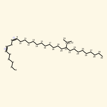 CCCCC/C=C\C/C=C\CCCCCCCCCCCC(CCCCCCCCC)N(C)C